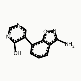 Nc1noc2c(-c3cncnc3O)cccc12